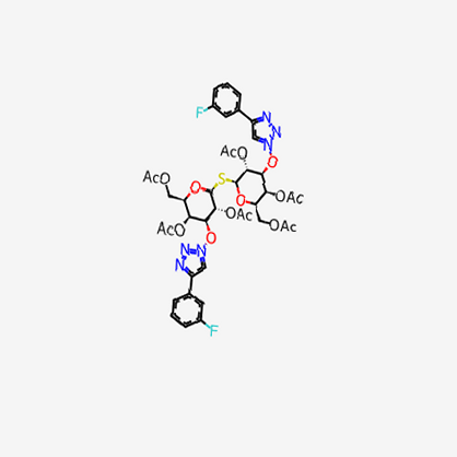 CC(=O)OC[C@H]1O[C@@H](S[C@@H]2O[C@H](COC(C)=O)[C@H](OC(C)=O)[C@H](On3cc(-c4cccc(F)c4)nn3)[C@H]2OC(C)=O)[C@H](OC(C)=O)[C@@H](On2cc(-c3cccc(F)c3)nn2)[C@H]1OC(C)=O